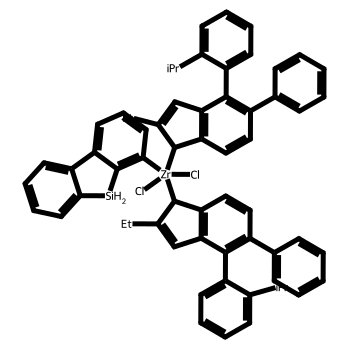 CCC1=Cc2c(ccc(-c3ccccc3)c2-c2ccccc2C(C)C)[CH]1[Zr]([Cl])([Cl])([c]1cccc2c1[SiH2]c1ccccc1-2)[CH]1C(CC)=Cc2c1ccc(-c1ccccc1)c2-c1ccccc1C(C)C